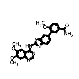 COc1cc2ncnc(Nc3nc4ccc(-c5cc(C(N)=O)ccc5OC)cc4s3)c2cc1OC